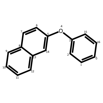 [c]1ccc(Oc2ccc3ccccc3c2)cc1